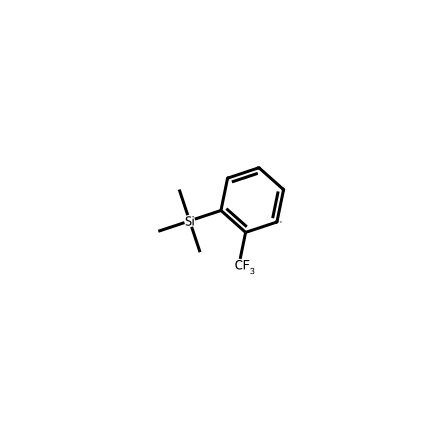 C[Si](C)(C)c1ccc[c]c1C(F)(F)F